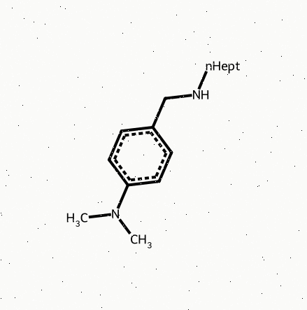 CCCCCCCNCc1ccc(N(C)C)cc1